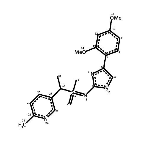 C=S(C)(=Nc1nc(-c2ccc(OC)cc2OC)cs1)C(C)c1ccc(C(F)(F)F)nc1